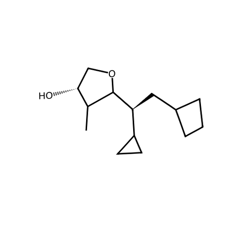 CC1C([C@@H](CC2CCC2)C2CC2)OC[C@H]1O